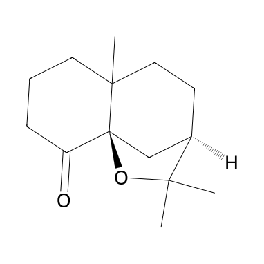 CC1(C)O[C@]23C[C@H]1CCC2(C)CCCC3=O